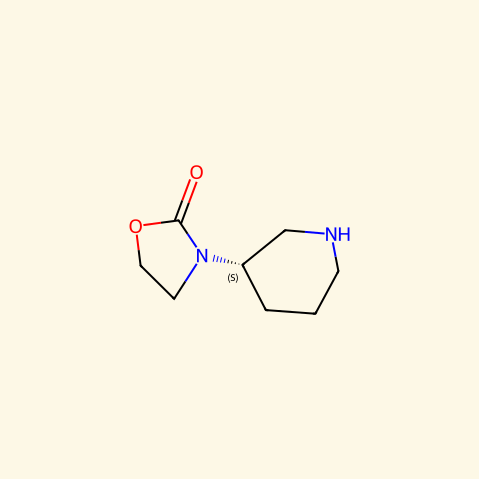 O=C1OCCN1[C@H]1CCCNC1